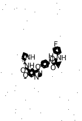 COc1cc2ncnc(Oc3ccc(NC(=O)C4(C(=O)Nc5ccc(F)cc5)CC4)cc3)c2cc1C(=O)NC[C@@H]1CCCN1